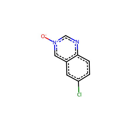 [O-][n+]1cnc2ccc(Cl)cc2c1